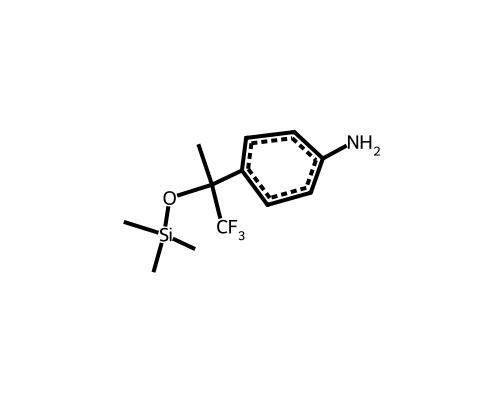 CC(O[Si](C)(C)C)(c1ccc(N)cc1)C(F)(F)F